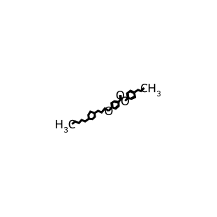 CCCCCC1CCC(CCCOc2ccc(C(=O)Oc3ccc(CCC)cc3)cc2)CC1